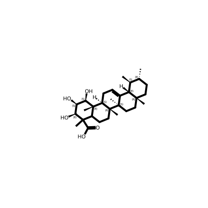 C[C@H]1[C@H](C)CC[C@]2(C)CC[C@]3(C)C(=CC[C@@H]4[C@]5(C)C(CC[C@]43C)C(C)(C(=O)O)[C@@H](O)[C@@H](O)[C@H]5O)[C@H]12